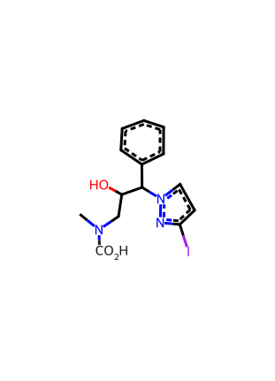 CN(CC(O)C(c1ccccc1)n1ccc(I)n1)C(=O)O